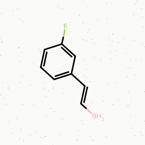 B/C=C/c1cccc(F)c1